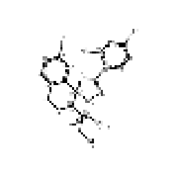 CC(=O)N1N=C(c2ccc(F)cc2F)S[C@@]12c1cc(F)ccc1CC[C@@H]2CCN